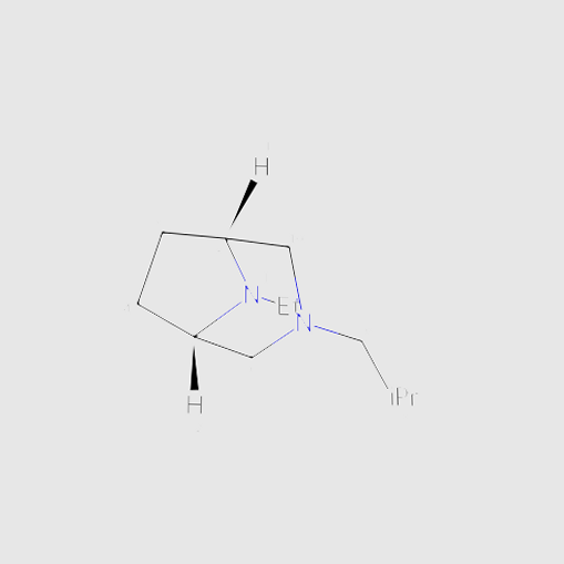 CCN1[C@@H]2CC[C@H]1CN(CC(C)C)C2